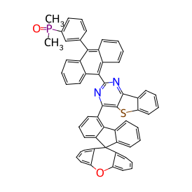 CP(C)(=O)c1cccc(-c2c3ccccc3c(-c3nc(-c4cccc5c4-c4ccccc4C54c5ccccc5Oc5ccccc54)c4sc5ccccc5c4n3)c3ccccc23)c1